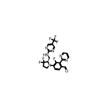 O=Cc1ccc(N2CCC(F)(F)[C@H]2CNc2ncc(C(F)(F)F)cn2)c(F)c1-c1ncccn1